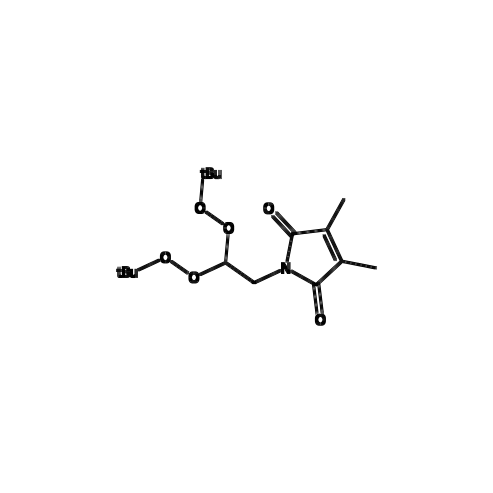 CC1=C(C)C(=O)N(CC(OOC(C)(C)C)OOC(C)(C)C)C1=O